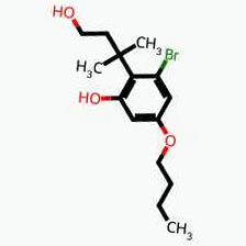 CCCCOc1cc(O)c(C(C)(C)CCO)c(Br)c1